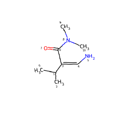 CC(C)C(=CN)C(=O)N(C)C